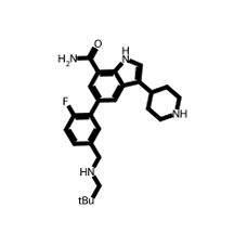 CC(C)(C)CNCc1ccc(F)c(-c2cc(C(N)=O)c3[nH]cc(C4CCNCC4)c3c2)c1